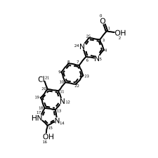 O=C(O)c1cnc(-c2ccc(-c3nc4nc(O)[nH]c4cc3Cl)cc2)nc1